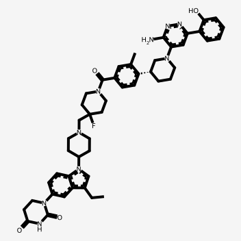 CCc1cn(C2CCN(CC3(F)CCN(C(=O)c4ccc([C@H]5CCCN(c6cc(-c7ccccc7O)nnc6N)C5)c(C)c4)CC3)CC2)c2ccc(N3CCC(=O)NC3=O)cc12